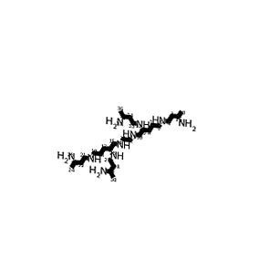 CC(N)CCNCCCC(CNCCNCC(CCCNCCC(C)N)NCCC(C)N)NCCC(C)N